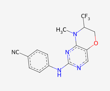 CN1c2nc(Nc3ccc(C#N)cc3)ncc2OCC1C(F)(F)F